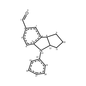 O=Cc1ccc2c(c1)C1CCCC1N2c1ccccc1